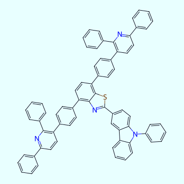 c1ccc(-c2ccc(-c3ccc(-c4ccc(-c5ccc(-c6ccc(-c7ccccc7)nc6-c6ccccc6)cc5)c5sc(-c6ccc7c(c6)c6ccccc6n7-c6ccccc6)nc45)cc3)c(-c3ccccc3)n2)cc1